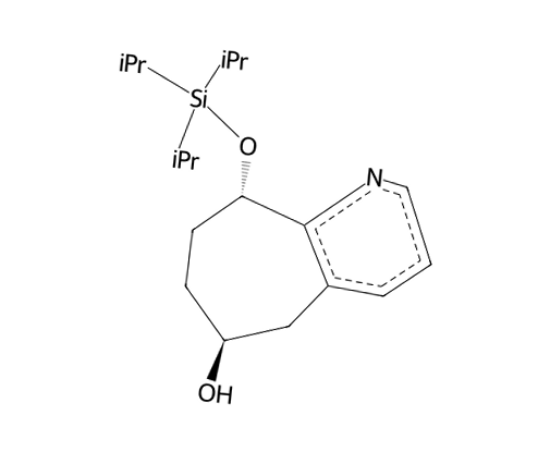 CC(C)[Si](O[C@H]1CC[C@H](O)Cc2cccnc21)(C(C)C)C(C)C